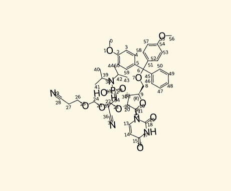 COc1ccc(C(OC[C@H]2O[C@@H](n3ccc(=O)[nH]c3=O)[C@H](OCOCOCCC#N)[C@@H]2O[PH](O)(CCC#N)N(C(C)C)C(C)C)(c2ccccc2)c2ccc(OC)cc2)cc1